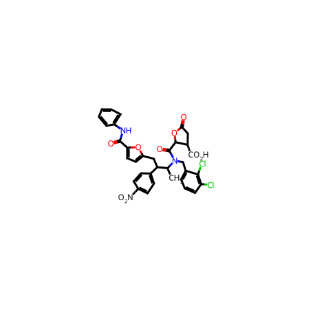 CC(C(Cc1ccc(C(=O)Nc2ccccc2)o1)c1ccc([N+](=O)[O-])cc1)N(Cc1cccc(Cl)c1Cl)C(=O)C1OC(=O)CC1C(=O)O